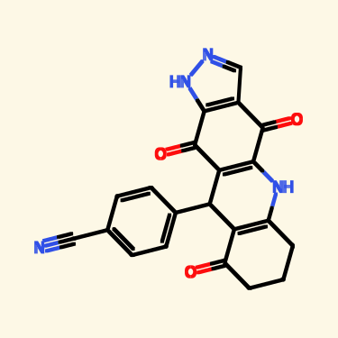 N#Cc1ccc(C2C3=C(CCCC3=O)NC3=C2C(=O)c2[nH]ncc2C3=O)cc1